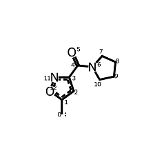 [CH]c1cc(C(=O)N2CCCC2)no1